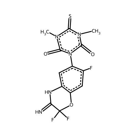 Cn1c(=S)n(C)c(=O)n(-c2cc3c(cc2F)OC(F)(F)C(=N)N3)c1=O